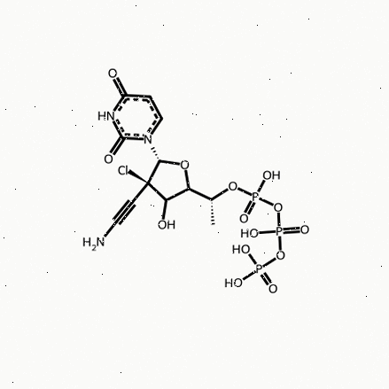 C[C@@H](OP(=O)(O)OP(=O)(O)OP(=O)(O)O)C1O[C@@H](n2ccc(=O)[nH]c2=O)[C@@](Cl)(C#CN)C1O